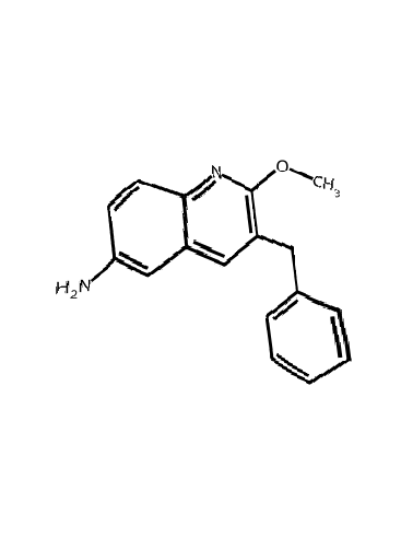 COc1nc2ccc(N)cc2cc1Cc1ccccc1